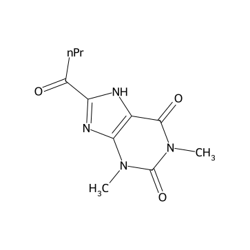 CCCC(=O)c1nc2c([nH]1)c(=O)n(C)c(=O)n2C